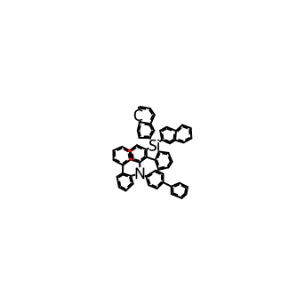 c1ccc(-c2ccc(N(c3ccccc3-c3ccccc3)c3cccc4c3-c3ccccc3[Si]4(c3ccc4ccccc4c3)c3ccc4ccccc4c3)cc2)cc1